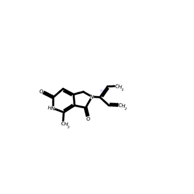 C=C/C(=C\C)N1Cc2cc(=O)[nH]c(C)c2C1=O